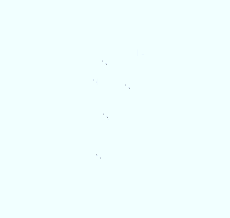 Brc1nnc(N2CCNCC2)[nH]1